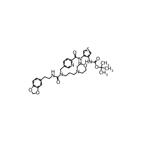 CC(C)(C)OC(=O)Nc1cscc1NC(=O)c1ccc(CN(CCCN2CCOCC2)C(=O)NCCc2ccc3c(c2)OCO3)cn1